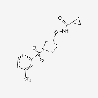 O=C(NOC1CCN(S(=O)(=O)c2cccc(C(F)(F)F)c2)C1)C1CC1